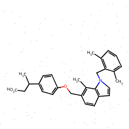 Cc1cccc(C)c1Cn1ccc2ccc(COc3ccc(C(C)CC(=O)O)cc3)c(C)c21